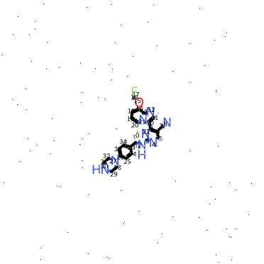 C[C@H](Nc1ncc(C#N)c(-c2cnc3c(OCF)cccn23)n1)c1ccc(N2CCNCC2)cc1